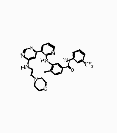 Cc1ccc(C(=O)Nc2cccc(C(F)(F)F)c2)cc1Nc1ncccc1-c1cc(NCCN2CCOCC2)ncn1